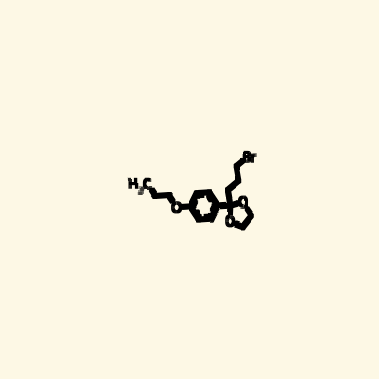 CCCOc1ccc(C2(CCCBr)OCCO2)cc1